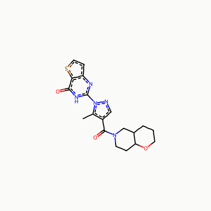 Cc1c(C(=O)N2CCC3OCCCC3C2)cnn1-c1nc2ccsc2c(=O)[nH]1